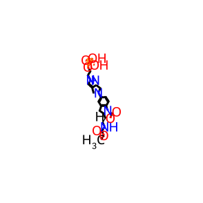 COC(=O)NC[C@@H]1OC(=O)N2c3ccc(N4Cc5cn(CCOP(=O)(O)O)nc5C4)cc3C[C@@H]12